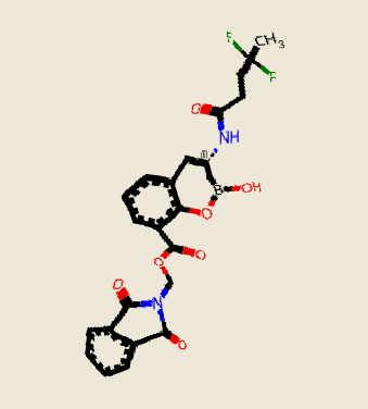 CC(F)(F)CCC(=O)N[C@H]1Cc2cccc(C(=O)OCN3C(=O)c4ccccc4C3=O)c2OB1O